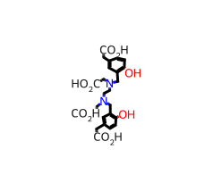 O=C(O)Cc1ccc(O)c(CN(CCN(CC(=O)O)Cc2cc(CC(=O)O)ccc2O)CC(=O)O)c1